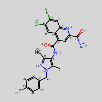 Cc1c(NC(=O)c2cc(C(N)=O)nc3cc(F)c(Cl)cc23)c(C#N)nn1Cc1ccc(F)cc1